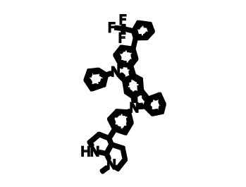 CN1CCCC2C(c3ccc(-n4c5ccccc5c5cc6c7cc(-c8ccccc8C(F)(F)F)ccc7n(-c7ccccc7)c6cc54)cc3)CCNC21